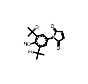 CCC(C)(C)c1cc(N2C(=O)C=CC2=O)cc(C(C)(C)CC)c1O